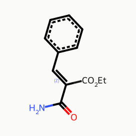 CCOC(=O)/C(=C\c1ccccc1)C(N)=O